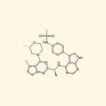 Cc1ccn2nc([C@H](C)Nc3ncnc4[nH]cc(-c5ccc(NS(C)(=O)=O)cc5)c34)nc(N3C[C@@H](C)O[C@@H](C)C3)c12